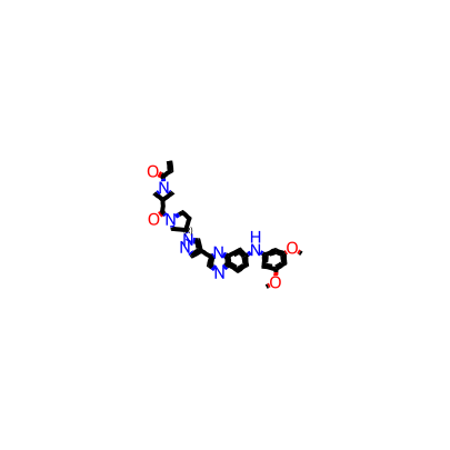 C=CC(=O)N1CC(C(=O)N2CC[C@@H](n3cc(-c4cnc5ccc(Nc6cc(OC)cc(OC)c6)cc5n4)cn3)C2)C1